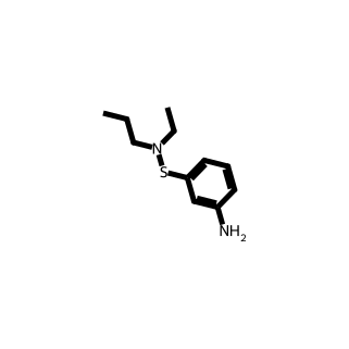 CCCN(CC)Sc1cccc(N)c1